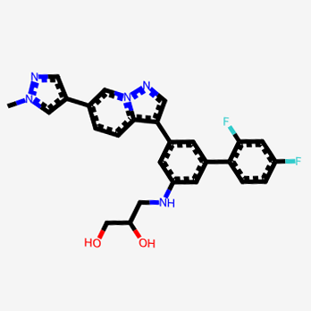 Cn1cc(-c2ccc3c(-c4cc(NCC(O)CO)cc(-c5ccc(F)cc5F)c4)cnn3c2)cn1